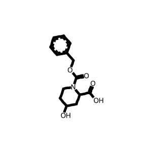 O=C(O)C1CC(O)CCN1C(=O)OCc1ccccc1